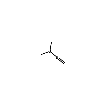 C=BB(C)C